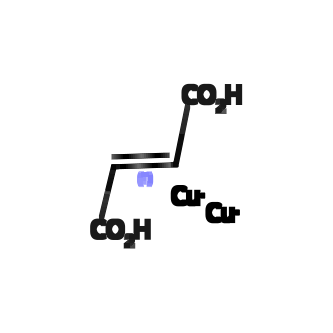 O=C(O)/C=C/C(=O)O.[Cu].[Cu]